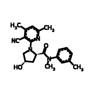 Cc1cccc(N(C)C(=O)[C@@H]2C[C@H](O)CN2c2nc(C)cc(C)c2C#N)c1